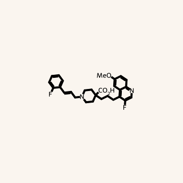 COc1ccc2ncc(F)c(CCCC3(C(=O)O)CCN(CC=Cc4ccccc4F)CC3)c2c1